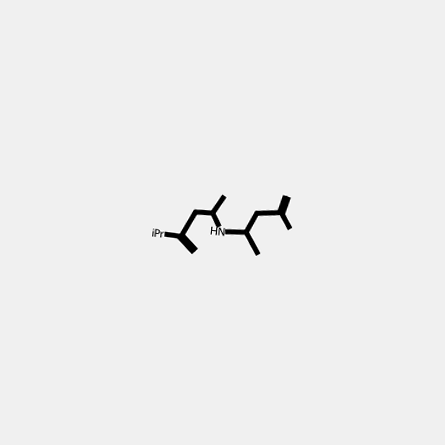 C=C(C)CC(C)NC(C)CC(=C)C(C)C